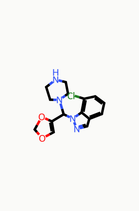 Clc1cccc2cnn(C(C3=COCO3)N3CCNCC3)c12